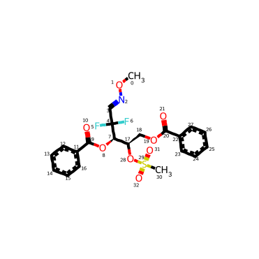 CON=CC(F)(F)[C@H](OC(=O)c1ccccc1)[C@@H](COC(=O)c1ccccc1)OS(C)(=O)=O